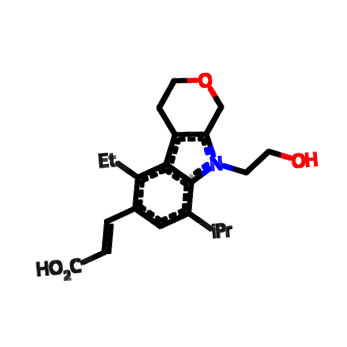 CCc1c(C=CC(=O)O)cc(C(C)C)c2c1c1c(n2CCO)COCC1